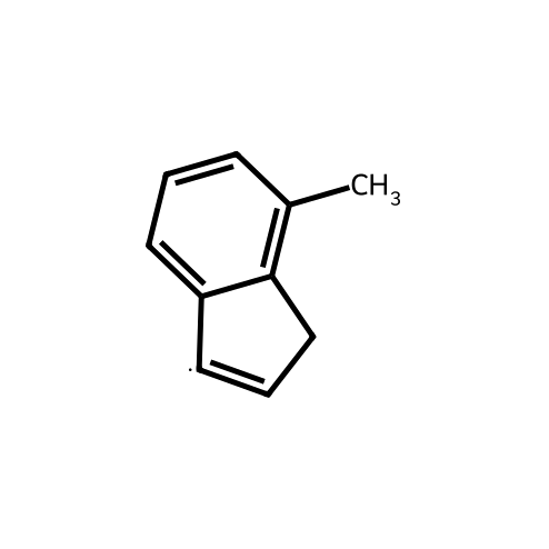 Cc1cccc2c1CC=[C]2